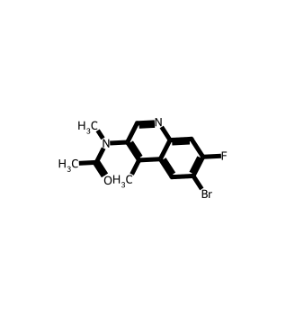 CC(=O)N(C)c1cnc2cc(F)c(Br)cc2c1C